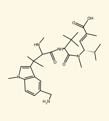 CNC(C(=O)N[C@H](C(=O)N(C)[C@H](/C=C(\C)C(=O)O)C(C)C)C(C)(C)C)C(C)(C)c1cn(C)c2ccc(CN)cc12